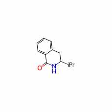 CC(C)C1Cc2ccccc2C(=O)N1